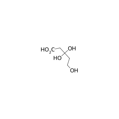 O=C(O)CC(O)(O)CCO